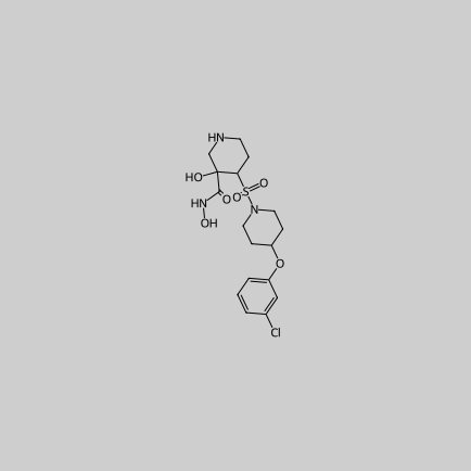 O=C(NO)C1(O)CNCCC1S(=O)(=O)N1CCC(Oc2cccc(Cl)c2)CC1